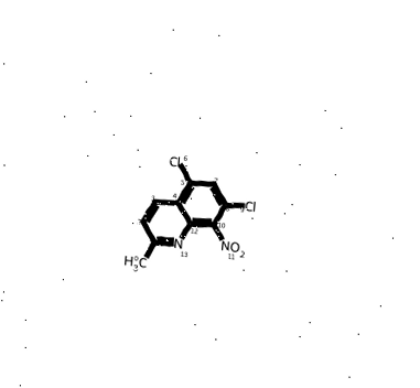 Cc1ccc2c(Cl)cc(Cl)c([N+](=O)[O-])c2n1